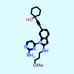 COCCCNc1cc2ccc(C#CC3(O)CCCCC3)cc2n1-c1ccnc(N)n1